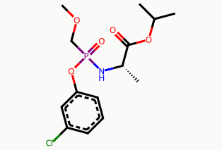 COCP(=O)(N[C@@H](C)C(=O)OC(C)C)Oc1cccc(Cl)c1